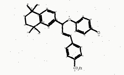 CCOC(=O)c1ccc(C=CC(Oc2ccc(Cl)cc2)c2ccc3c(c2)C(C)(C)CCC3(C)C)cc1